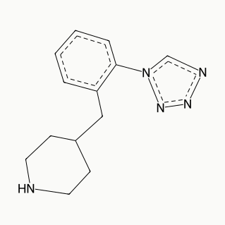 c1ccc(-n2cnnn2)c(CC2CCNCC2)c1